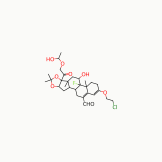 CC(O)OCC(=O)C12OC(C)(C)OC1CC1C3CC(C=O)=C4C=C(OCCCl)CCC4(C)C3(F)C(O)CC12C